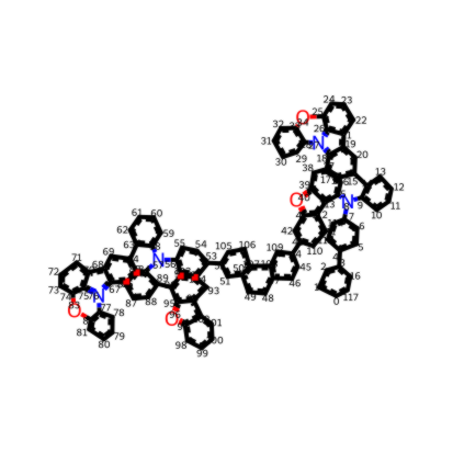 c1ccc(-c2ccc(N(c3ccccc3-c3ccc4c(c3)c3cccc5c3n4-c3ccccc3O5)c3cccc4oc5cc(-c6ccc7ccc8cc(-c9ccc(N(c%10ccccc%10-c%10ccc%11c(c%10)c%10cccc%12c%10n%11-c%10ccccc%10O%12)c%10ccccc%10-c%10cccc%11c%10oc%10ccccc%10%11)cc9)ccc8c7c6)ccc5c34)cc2)cc1